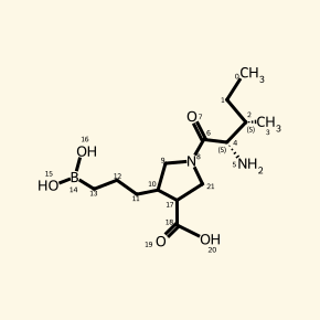 CC[C@H](C)[C@H](N)C(=O)N1CC(CCCB(O)O)C(C(=O)O)C1